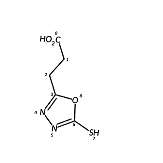 O=C(O)CCc1nnc(S)o1